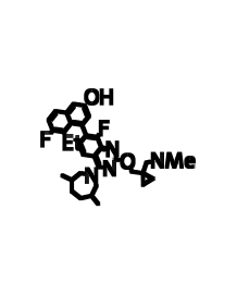 CCc1c(F)ccc2cc(O)cc(-c3ccc4c(N5CC(C)CCC(C)C5)nc(OCC5(CNC)CC5)nc4c3F)c12